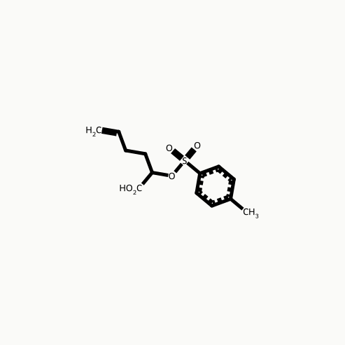 C=CCCC(OS(=O)(=O)c1ccc(C)cc1)C(=O)O